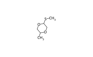 CSC1COC(C)CO1